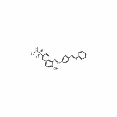 CCNS(=O)(=O)c1ccc2c(/N=N/c3ccc(/N=N/c4ccccc4)cc3)c(O)ccc2c1